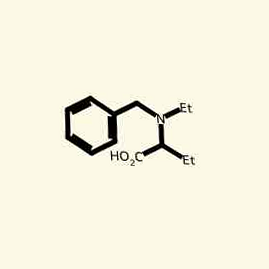 CCC(C(=O)O)N(CC)Cc1ccccc1